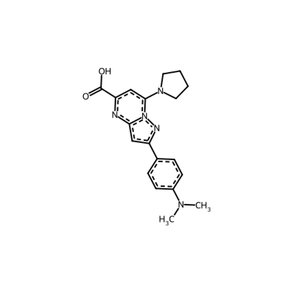 CN(C)c1ccc(-c2cc3nc(C(=O)O)cc(N4CCCC4)n3n2)cc1